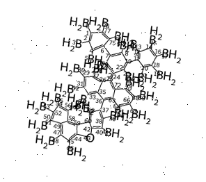 Bc1c(B)c(B)c(-c2c(B)c(-c3c(B)c(B)c(B)c(B)c3B)c(B)c(-c3c4c(B)c(B)c(B)c(B)c4c(-c4c(B)c(B)c5oc6c(B)c(B)c7c(B)c(B)c(B)c(B)c7c6c5c4B)c4c(B)c(B)c(B)c(B)c34)c2B)c(B)c1B